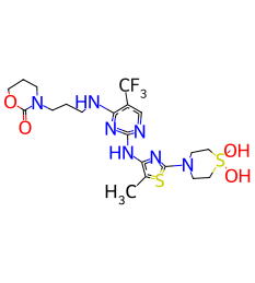 Cc1sc(N2CCS(O)(O)CC2)nc1Nc1ncc(C(F)(F)F)c(NCCCN2CCCOC2=O)n1